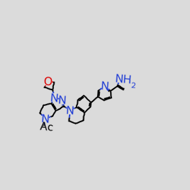 C=C(N)c1ccc(-c2ccc3c(c2)CCCN3c2nn(C3COC3)c3c2CN(C(C)=O)CC3)cn1